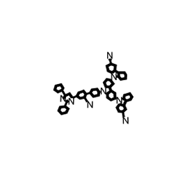 N#Cc1ccc2c(c1)c1ccccc1n2-c1ccc2c(c1)c1cc(-n3c4ccccc4c4cc(C#N)ccc43)ccc1n2-c1ccc(-c2ccc(-c3cc(-c4ccccc4)nc(-c4ccccc4)n3)cc2C#N)cc1